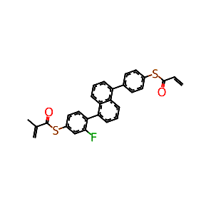 C=CC(=O)Sc1ccc(-c2cccc3c(-c4ccc(SC(=O)C(=C)C)cc4F)cccc23)cc1